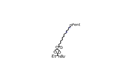 CCCCC/C=C/C/C=C/CCCCCCCC(=O)OC1COC(C(CC)CCCC)OC1